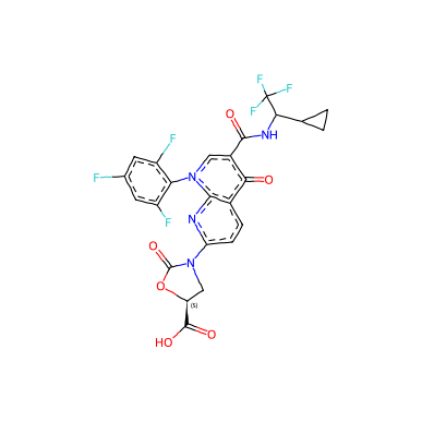 O=C(NC(C1CC1)C(F)(F)F)c1cn(-c2c(F)cc(F)cc2F)c2nc(N3C[C@@H](C(=O)O)OC3=O)ccc2c1=O